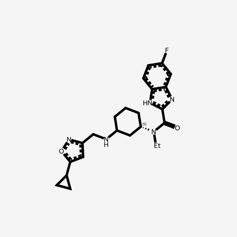 CCN(C(=O)c1nc2cc(F)ccc2[nH]1)[C@H]1CCCC(NCc2cc(C3CC3)on2)C1